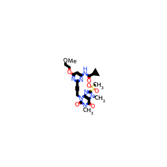 COCCOc1cc(NC(=O)C2CC2)nc(C#CCn2c(=O)n(C)c(=O)c3c2nc(S(C)(=O)=O)n3C)n1